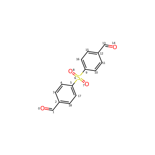 O=Cc1ccc(S(=O)(=O)c2ccc(C=O)cc2)cc1